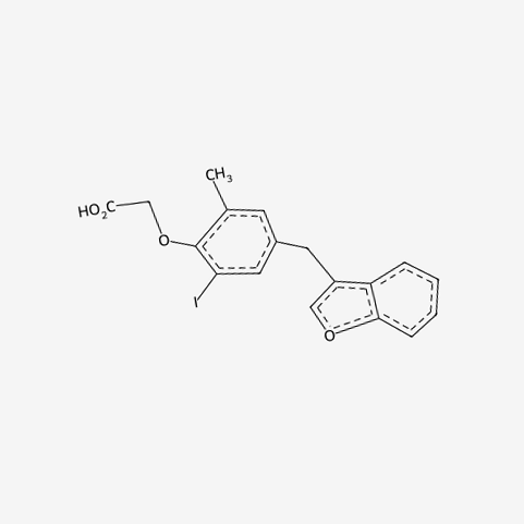 Cc1cc(Cc2coc3ccccc23)cc(I)c1OCC(=O)O